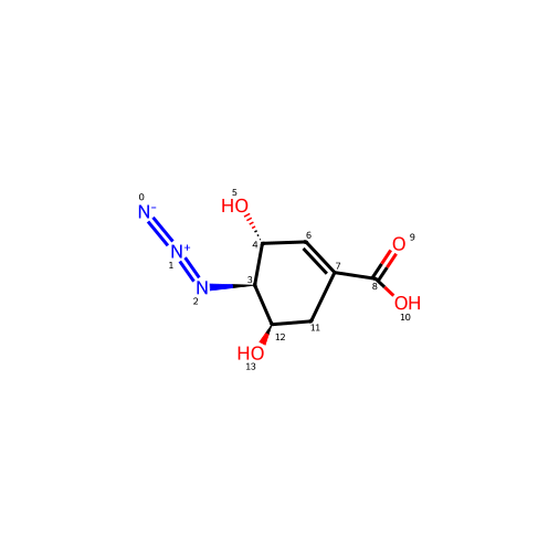 [N-]=[N+]=N[C@H]1[C@H](O)C=C(C(=O)O)C[C@H]1O